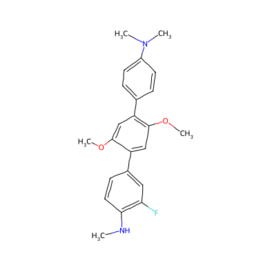 CNc1ccc(-c2cc(OC)c(-c3ccc(N(C)C)cc3)cc2OC)cc1F